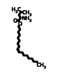 CCCCCCCC/C=C\CCCCCCCCOC(=O)[C@@H](N)CC(C)C